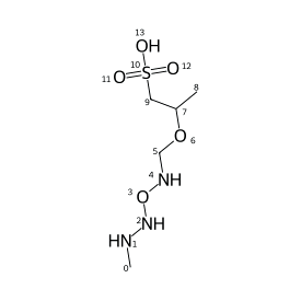 CNNONCOC(C)CS(=O)(=O)O